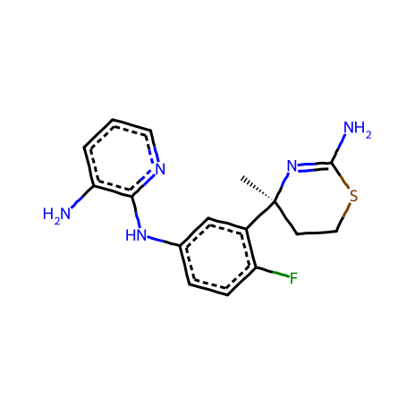 C[C@@]1(c2cc(Nc3ncccc3N)ccc2F)CCSC(N)=N1